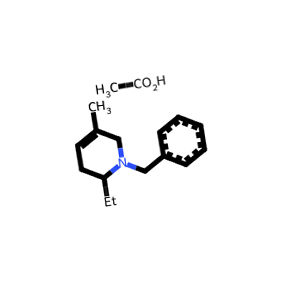 CC(=O)O.CCC1CC=C(C)CN1Cc1ccccc1